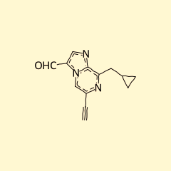 C#Cc1cn2c(C=O)cnc2c(CC2CC2)n1